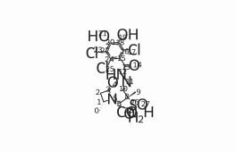 C[C@@H]1CC(=O)N1[C@@H](C(=O)O)[C@](C)(/C=N/NC(=O)c1c(Cl)c(O)c(O)c(Cl)c1Cl)[SH](=O)=O